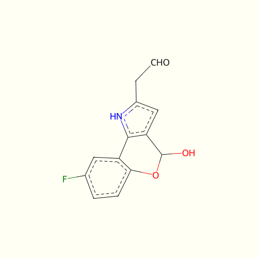 O=CCc1cc2c([nH]1)-c1cc(F)ccc1OC2O